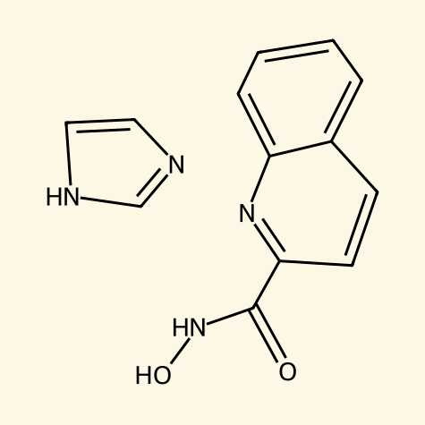 O=C(NO)c1ccc2ccccc2n1.c1c[nH]cn1